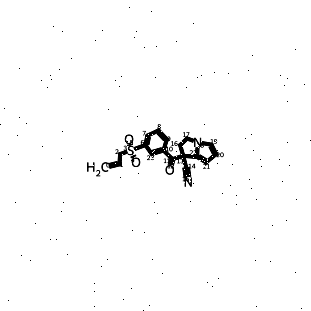 C=CCS(=O)(=O)c1cccc(C(=O)C2(C#N)CCn3cccc32)c1